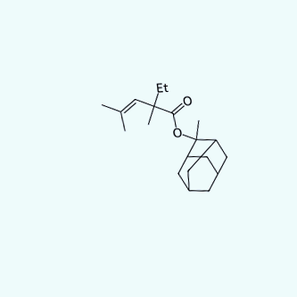 CCC(C)(C=C(C)C)C(=O)OC1(C)C2CC3CC(C2)CC1C3